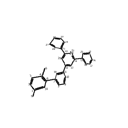 Cc1ccc(C)c(-c2cccc(-c3cc(-c4ccccc4)nc(-c4ccccc4)c3)c2)c1